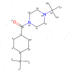 CC(C)(C)C1CCC(C(=O)N2CCN(C(C)(C)C)CC2)CC1